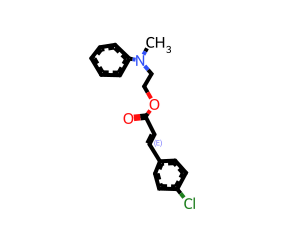 CN(CCOC(=O)/C=C/c1ccc(Cl)cc1)c1ccccc1